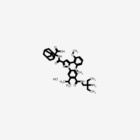 CCC(N)(CC)CNC(=O)c1ccc(-n2nc(C(=O)NC3(C(=O)O)C4CC5CC(C4)CC3C5)cc2-c2c(OC)cccc2OC)cc1C(C)C.Cl